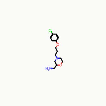 NCC1CN(CCCOc2ccc(Cl)cc2)CCO1